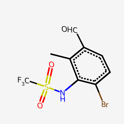 Cc1c(C=O)ccc(Br)c1NS(=O)(=O)C(F)(F)F